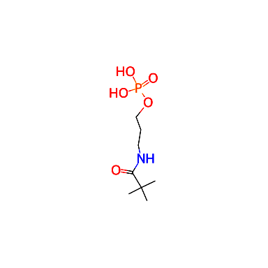 CC(C)(C)C(=O)NCCCOP(=O)(O)O